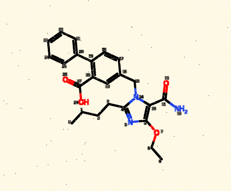 CCCCc1nc(OCC)c(C(N)=O)n1Cc1ccc(-c2ccccc2)c(C(=O)O)c1